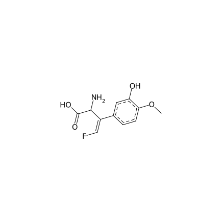 COc1ccc(C(=CF)C(N)C(=O)O)cc1O